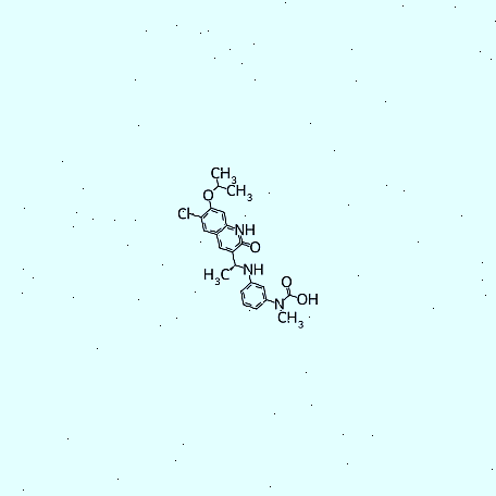 CC(C)Oc1cc2[nH]c(=O)c([C@H](C)Nc3cccc(N(C)C(=O)O)c3)cc2cc1Cl